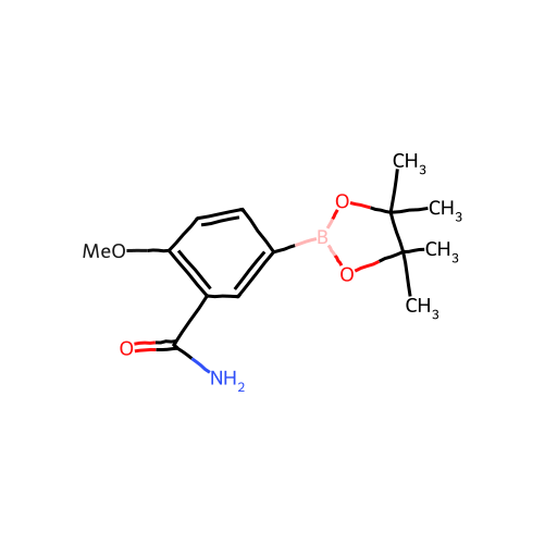 COc1ccc(B2OC(C)(C)C(C)(C)O2)cc1C(N)=O